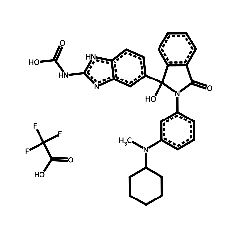 CN(c1cccc(N2C(=O)c3ccccc3C2(O)c2ccc3[nH]c(NC(=O)O)nc3c2)c1)C1CCCCC1.O=C(O)C(F)(F)F